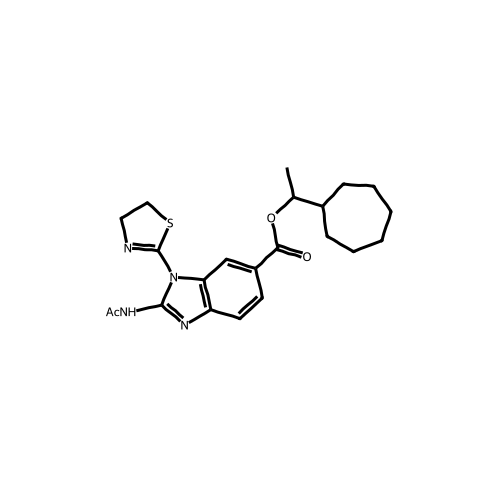 CC(=O)Nc1nc2ccc(C(=O)OC(C)C3CCCCCC3)cc2n1C1=NCCS1